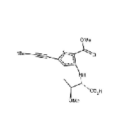 COC(=O)c1sc(C#CC(C)(C)C)cc1N[C@H](C(=O)O)[C@H](C)OC